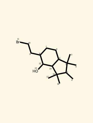 CC1C(C)(C)C2CCC(CCBr)C(O)C2C1(C)C